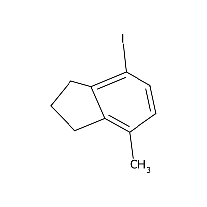 Cc1ccc(I)c2c1CCC2